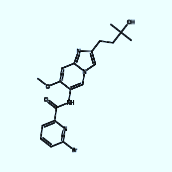 COc1cc2nc(CCC(C)(C)O)cn2cc1NC(=O)c1cccc(Br)n1